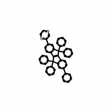 c1ccc(-c2ccc3c(c2)C(c2ccccc2)(c2ccccc2)C2=C3C(c3ccccc3)(c3ccccc3)c3cc(-c4cnccn4)ccc32)cc1